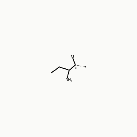 CCC(N)[C@@H](C)Cl